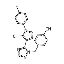 N#Cc1ccc(Cn2nnnc2-c2cnn(-c3ccc(F)cc3)c2Cl)cc1